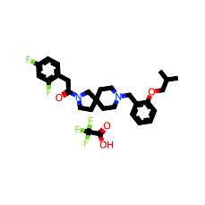 CC(C)COc1ccccc1CN1CCC2(CC1)CCN(C(=O)Cc1ccc(F)cc1F)C2.O=C(O)C(F)(F)F